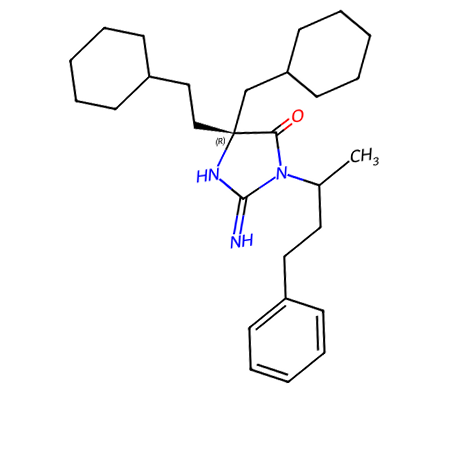 CC(CCc1ccccc1)N1C(=N)N[C@](CCC2CCCCC2)(CC2CCCCC2)C1=O